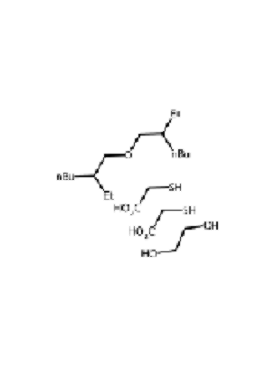 CCCCC(CC)COCC(CC)CCCC.O=C(O)CS.O=C(O)CS.OCCO